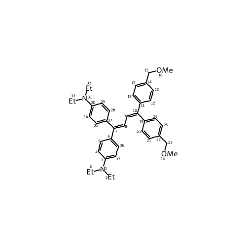 CCN(CC)c1ccc(C(=CC=C(c2ccc(COC)cc2)c2ccc(COC)cc2)c2ccc(N(CC)CC)cc2)cc1